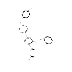 NCC(=O)OC(=O)c1ncc(C2=CCN(Cc3ccc(Cl)cc3)CC2)cc1OCc1ccccc1